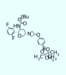 CC(C)(C)OC(=O)N[C@H]1C[C@H](N2CC(Oc3ccc(B4OC(C)(C)C(C)(C)O4)cc3)C2)CO[C@@H]1c1cc(F)ccc1F